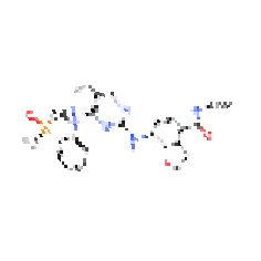 CONC(=O)c1ccc(Nc2ncc(C(F)(F)F)c(Nc3ccccc3P(C)(C)=O)n2)c2c1C(F)CO2